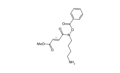 COC(=O)/C=C/C(=O)N(CCCCN)OC(=O)c1ccccc1